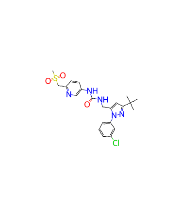 CC(C)(C)c1cc(CNC(=O)Nc2ccc(CS(C)(=O)=O)nc2)n(-c2cccc(Cl)c2)n1